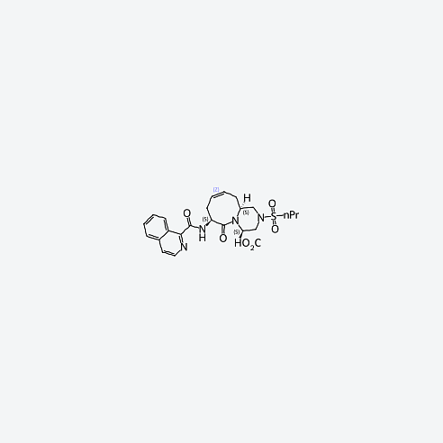 CCCS(=O)(=O)N1C[C@@H]2C/C=C\C[C@H](NC(=O)c3nccc4ccccc34)C(=O)N2[C@H](C(=O)O)C1